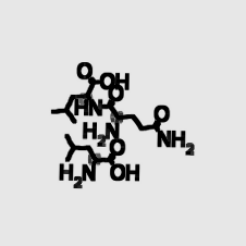 CC(C)C[C@H](N)C(=O)O.CC(C)C[C@H](NC(=O)[C@@H](N)CCC(N)=O)C(=O)O